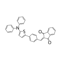 O=C1C(=Cc2ccc(-c3ccc(N(c4ccccc4)c4ccccc4)s3)cc2)C(=O)c2ccccc21